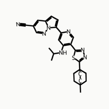 CC(C)Nc1cc(-c2ccc3cc(C#N)cnn23)ncc1-c1nnc(C23CCC(C)(CC2)CC3)s1